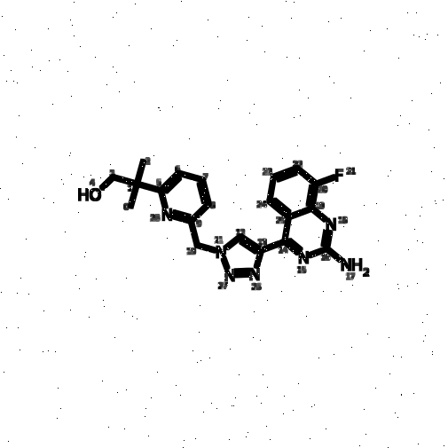 CC(C)(CO)c1cccc(Cn2cc(-c3nc(N)nc4c(F)cccc34)nn2)n1